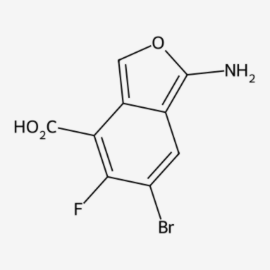 Nc1occ2c(C(=O)O)c(F)c(Br)cc12